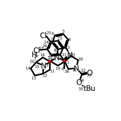 Cc1nc2ccccc2n1C1CC2CC[C@@H](C1)N2CCC1(c2ccc(Cl)c(Cl)c2)CCN(C(=O)OC(C)(C)C)C1